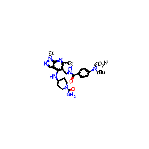 CCc1nc2c(cnn2CC)c(NC2CCN(C(N)=O)CC2)c1CNC(=O)c1ccc(N(C(=O)O)C(C)(C)C)cc1